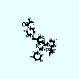 CC(C)C(=O)N1CCN(Cc2csc3c(-n4ccnc4C(F)(F)F)nc(N4CCCCC4)nc23)CC1